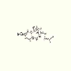 CC(C)=CCN1CC[C@@]2(C)c3cc(O)ccc3CC1C2C